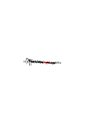 COCCOCCOCCOCCOCCOCCOCCOCCC(=O)NC(C)CC(C)C